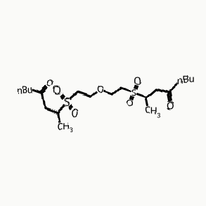 CCCCC(=O)CC(C)S(=O)(=O)CCOCCS(=O)(=O)C(C)CC(=O)CCCC